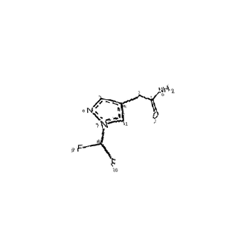 NC(=O)Cc1cnn(C(F)F)c1